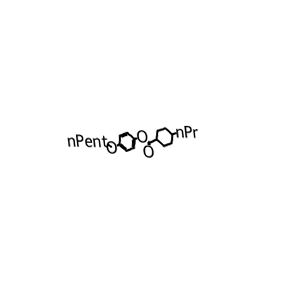 CCCCCOc1ccc(OC(=O)C2CCC(CCC)CC2)cc1